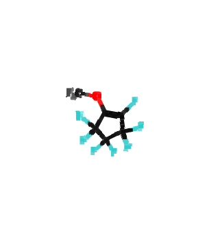 FC1=C(OC(F)(F)F)C(F)(F)C(F)(F)C1(F)F